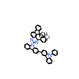 CC1(C)c2ccccc2-c2ccc3nc(-n4c5ccccc5c5ccc(-c6ccc7c(c6)c6ccccc6n7-c6ccccc6)cc54)nc(-c4ccccc4)c3c21